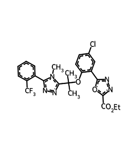 CCOC(=O)c1nnc(-c2cc(Cl)ccc2OC(C)(C)c2nnc(-c3ccccc3C(F)(F)F)n2C)o1